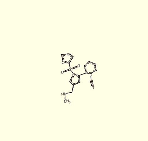 CNCc1cc(-c2cccnc2C#N)n(S(=O)(=O)c2ccco2)c1